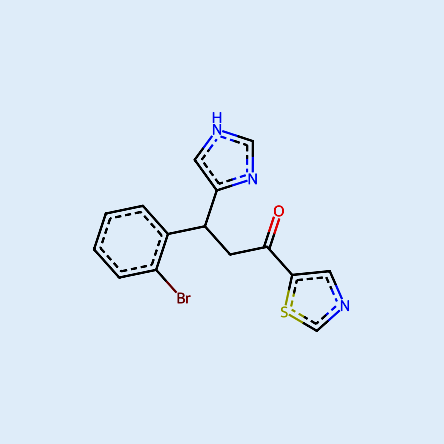 O=C(CC(c1c[nH]cn1)c1ccccc1Br)c1cncs1